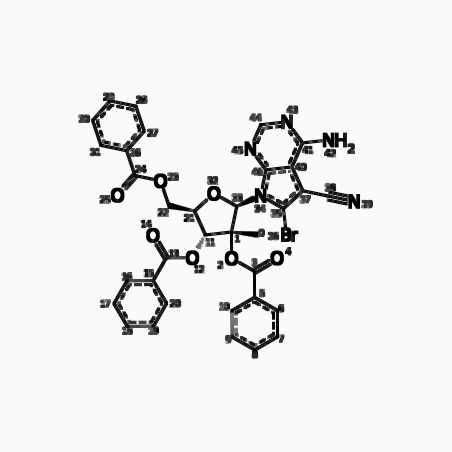 C[C@@]1(OC(=O)c2ccccc2)[C@H](OC(=O)c2ccccc2)[C@@H](COC(=O)c2ccccc2)O[C@H]1n1c(Br)c(C#N)c2c(N)ncnc21